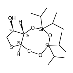 CC(C)[Si]1(C(C)C)OC[C@H]2SC[C@@H](O)[C@@H]2O[Si](C(C)C)(C(C)C)O1